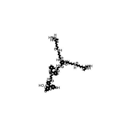 N=C1NC2CSC(CCCCC(=O)NCCCCCC(=O)Nc3cc(NC(=O)CCCCCNC(=O)CCCCC4SCC5NC(=N)NC54)cc(C(=O)NCCC(=O)N4Cc5ccccc5-c5nnn(CCCNC(=O)c6ccc(C(=O)O)c(-c7c8ccc(=O)cc-8oc8cc(O)ccc78)c6)c5-c5ccccc54)c3)C2N1